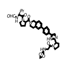 CC(C)[C@H](NC=O)C(=O)N1CCCC1C(=O)N1CCc2cc(-c3ccc(-c4cnc(C5CCCN5C(=O)CNC5OCO5)[nH]4)cc3)ccc2C1